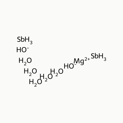 O.O.O.O.O.[Mg+2].[OH-].[OH-].[SbH3].[SbH3]